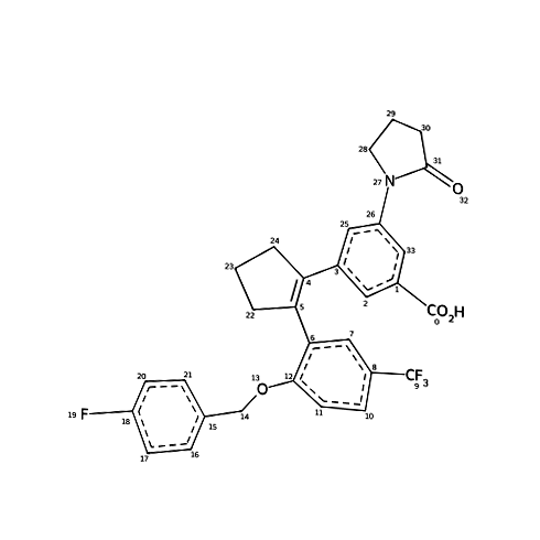 O=C(O)c1cc(C2=C(c3cc(C(F)(F)F)ccc3OCc3ccc(F)cc3)CCC2)cc(N2CCCC2=O)c1